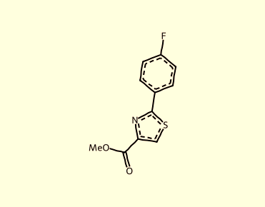 COC(=O)c1csc(-c2ccc(F)cc2)n1